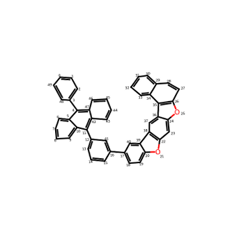 c1ccc(-c2c3ccccc3c(-c3cccc(-c4ccc5oc6cc7oc8ccc9ccccc9c8c7cc6c5c4)c3)c3ccccc23)cc1